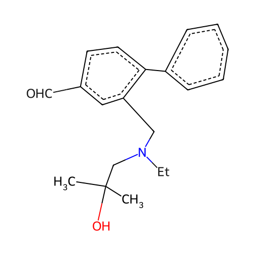 CCN(Cc1cc(C=O)ccc1-c1ccccc1)CC(C)(C)O